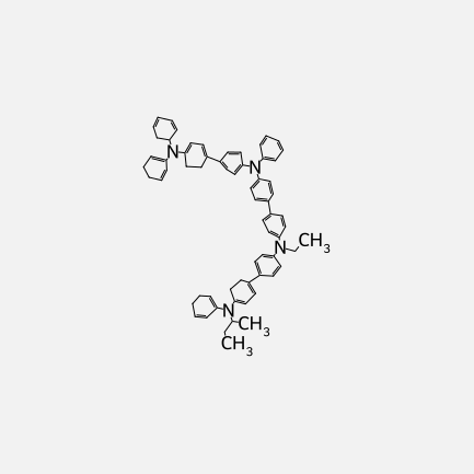 CCC(C)N(C1=CCCC=C1)C1=CC=C(c2ccc(N(CC)c3ccc(-c4ccc(N(c5ccccc5)c5ccc(C6=CC=C(N(C7=CCCC=C7)C7C=CC=CC7)CC6)cc5)cc4)cc3)cc2)CC1